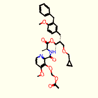 COc1ccc(C[C@H](COCC2CC2)[C@H](C)OC(=O)[C@H](C)NC(=O)c2nccc(OC)c2OCOC(C)=O)cc1Cc1ccccc1